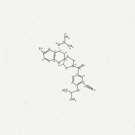 CC(C)Oc1ccc(C(=O)N2CCC3(CC2)C[C@@H](OC(C)C)c2cc(F)ccc2O3)cc1C#N